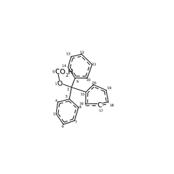 O=C(O)OC(c1ccccc1)(c1ccccc1)c1ccccc1